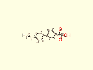 CCc1ccc(-c2ccc(C(=O)C(=O)O)cc2)cc1